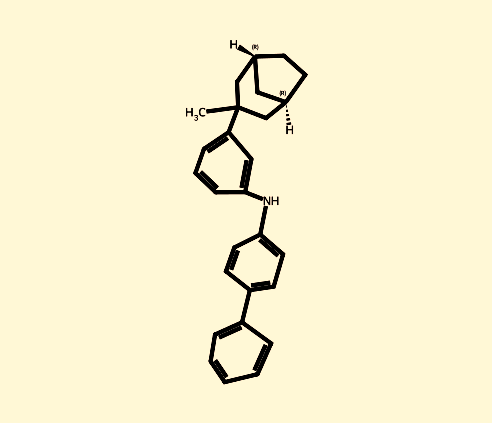 CC1(c2cccc(Nc3ccc(-c4ccccc4)cc3)c2)C[C@@H]2CC[C@H](C2)C1